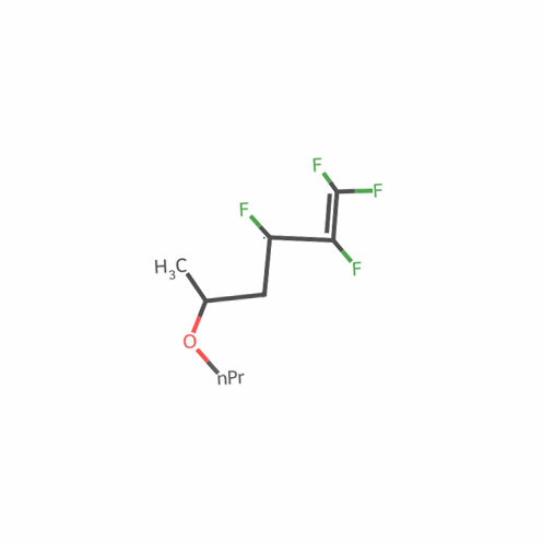 CCCOC(C)C[C](F)C(F)=C(F)F